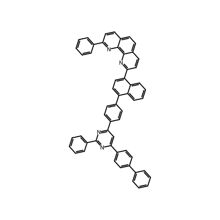 c1ccc(-c2ccc(-c3cc(-c4ccc(-c5ccc(-c6ccc7ccc8ccc(-c9ccccc9)nc8c7n6)c6ccccc56)cc4)nc(-c4ccccc4)n3)cc2)cc1